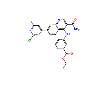 CCOC(=O)c1cccc(Nc2c(C(N)=O)cnc3cc(-c4cc(C)nc(Cl)c4)ccc23)c1